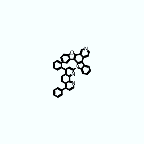 c1ccc(-c2ccnc3c2ccc2c(-c4ccccc4)cc(-n4c5ccccc5c5c6ccncc6c6oc7ccccc7c6c54)nc23)cc1